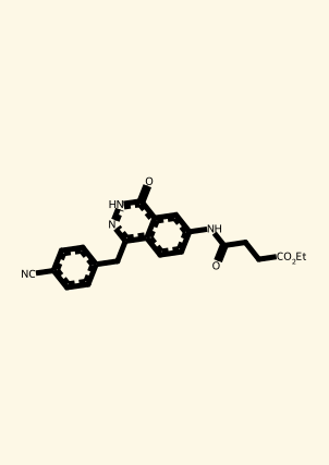 CCOC(=O)CCC(=O)Nc1ccc2c(Cc3ccc(C#N)cc3)n[nH]c(=O)c2c1